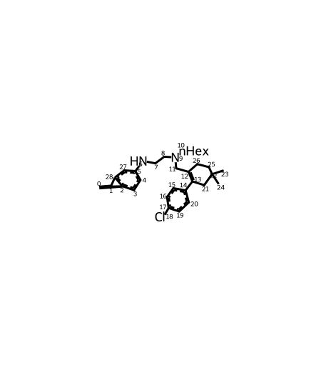 C=C1c2ccc(NCCN(CCCCCC)CC3=C(c4ccc(Cl)cc4)CC(C)(C)CC3)cc21